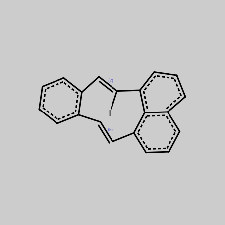 I/C1=C\c2ccccc2/C=C/c2cccc3cccc1c23